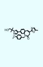 COc1ccc(CN2C(=O)CC(c3ncc(C)o3)=Cc3ccc(-c4cnn(C(C)(C)CO)c4)cc32)cc1